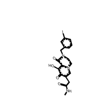 CNC(=O)Cc1cn2ccn(Cc3cccc(I)c3)c(=O)c2c(O)c1=O